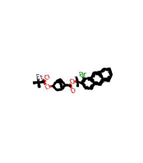 CCC(C)(C)C(=O)OC1CC2CC1CC2C(=O)OC(C)(C)c1ccc2cc3ccccc3cc2c1Br